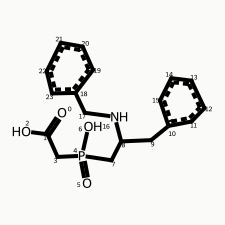 O=C(O)CP(=O)(O)CC(Cc1ccccc1)NCc1ccccc1